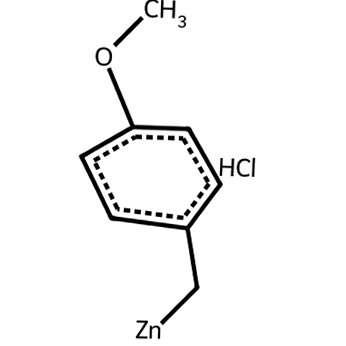 COc1ccc([CH2][Zn])cc1.Cl